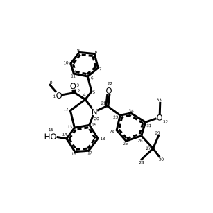 COC(=O)C1(Cc2ccccc2)Cc2c(O)cccc2N1C(=O)c1ccc(C(C)(C)C)c(OC)c1